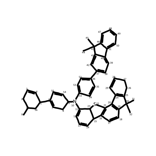 CC1CC=CC(C2=CCC(N(C3=CC=CC4c5ccc6c(c5SC34)C3=C(CCC=C3)C6(C)C)c3ccc(-c4ccc5c(c4)C(C)(C)c4ccccc4-5)cc3)C=C2)C1